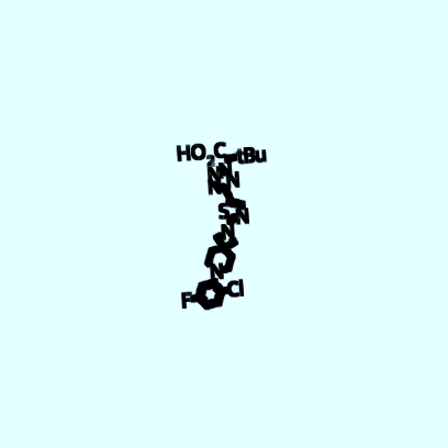 CC(C)(C)C(C(=O)O)n1nnc(-c2cnc(N3CC4(CCN(c5cc(F)ccc5Cl)CC4)C3)s2)n1